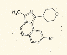 Cc1nc(C2CCOCC2)n2c1cnc1ccc(Br)cc12